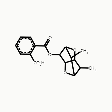 CC1C2OC3C(OC1C3OC(=O)c1ccccc1C(=O)O)C2C